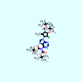 C=C1[C@@H](n2cnc3c(N(C(=O)OC(C)(C)C)C(=O)OC(C)(C)C)ncnc32)C(F)[C@H](OC(C)(C)C)[C@H]1COC(C)(C)C